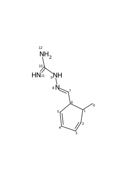 CC1C=CC=CC1/C=N/NC(=N)N